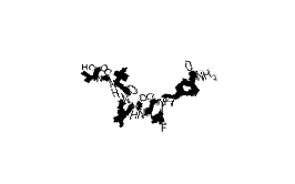 CC(C)[C@H](NC(=O)N[C@H](C(=O)N1CC2C([C@H]1C(=O)N[C@@H](CC(F)F)C(=O)NCCc1ccc(C(N)=O)cc1)C2(C)C)C(C)(C)C)C(=O)O